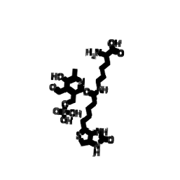 Cc1ncc(COP(=O)(O)O)c(C=O)c1O.NC(CCCCNC(=O)CCCCC1SCC2NC(=O)NC21)C(=O)O